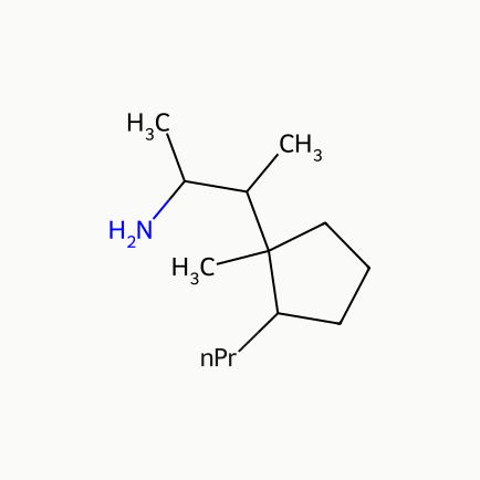 CCCC1CCCC1(C)C(C)C(C)N